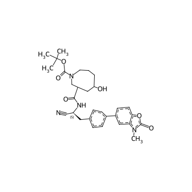 Cn1c(=O)oc2ccc(-c3ccc(C[C@@H](C#N)NC(=O)C4CC(O)CCCN(C(=O)OC(C)(C)C)C4)cc3)cc21